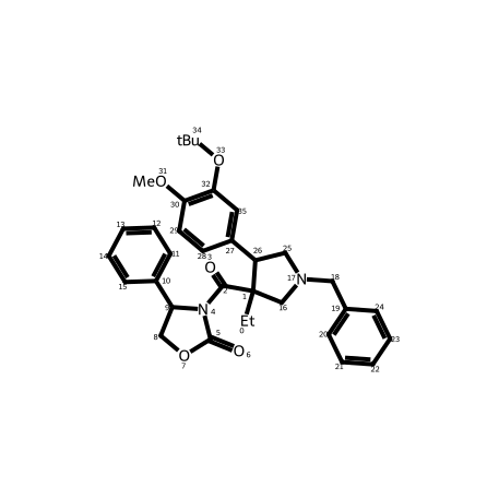 CCC1(C(=O)N2C(=O)OCC2c2ccccc2)CN(Cc2ccccc2)CC1c1ccc(OC)c(OC(C)(C)C)c1